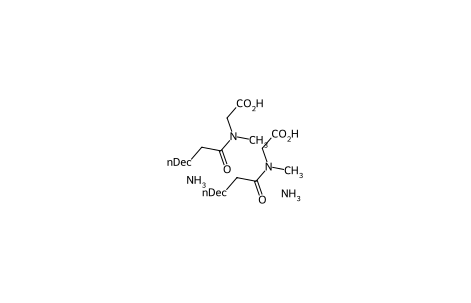 CCCCCCCCCCCC(=O)N(C)CC(=O)O.CCCCCCCCCCCC(=O)N(C)CC(=O)O.N.N